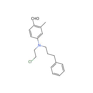 Cc1cc(N(CCCl)CCCc2ccccc2)ccc1C=O